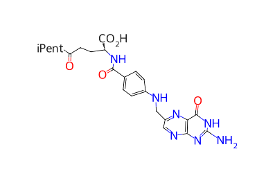 CCCC(C)C(=O)CC[C@H](NC(=O)c1ccc(NCc2cnc3nc(N)[nH]c(=O)c3n2)cc1)C(=O)O